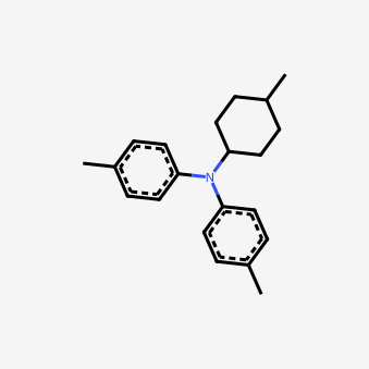 Cc1ccc(N(c2ccc(C)cc2)C2CCC(C)CC2)cc1